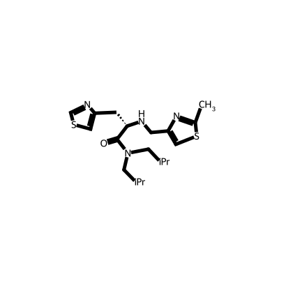 Cc1nc(CN[C@@H](Cc2cscn2)C(=O)N(CC(C)C)CC(C)C)cs1